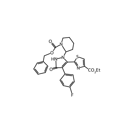 CCOC(=O)c1csc(-c2c(-c3ccc(F)cc3)c(=O)[nH]n2C2CCCCN2C(=O)OCc2ccccc2)n1